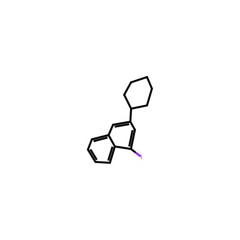 Ic1cc(C2CCCCC2)cc2ccccc12